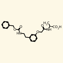 C[C@H](NC(=O)COc1cccc(CCNC(=O)OCc2ccccc2)c1)C(=O)O